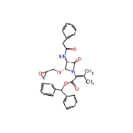 CC(C)=C(C(=O)OC(c1ccccc1)c1ccccc1)N1C(=O)[C@H](NC(=O)Cc2ccccc2)[C@H]1OCC1CO1